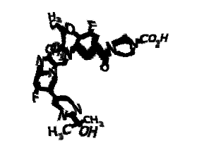 Cc1nc2cc(F)c(-c3cnc(C(C)(C)O)nc3)cn2c1CN1C(=O)C(C)Oc2c(F)cc(C(=O)N3CCN(C(=O)O)CC3)cc21